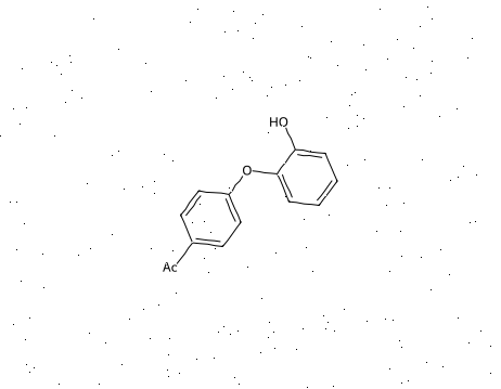 CC(=O)c1ccc(Oc2ccccc2O)cc1